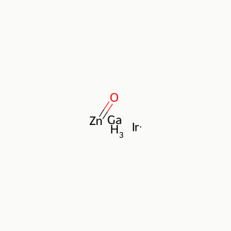 [GaH3].[Ir].[O]=[Zn]